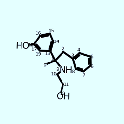 CC(Cc1ccccc1)(NCCO)c1cccc(O)c1